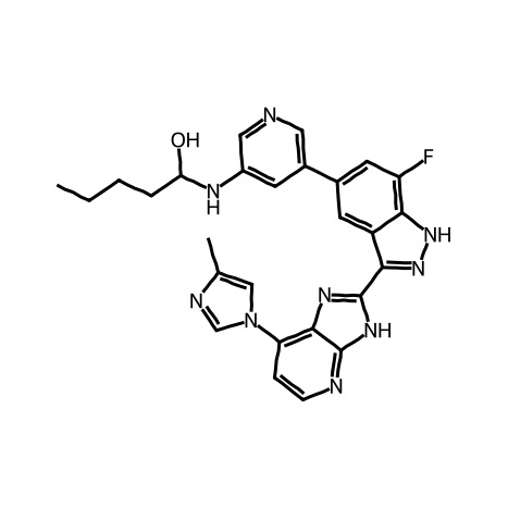 CCCCC(O)Nc1cncc(-c2cc(F)c3[nH]nc(-c4nc5c(-n6cnc(C)c6)ccnc5[nH]4)c3c2)c1